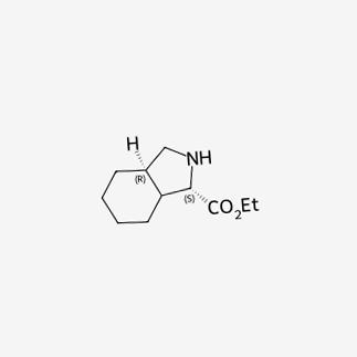 CCOC(=O)[C@H]1NC[C@@H]2CCCCC21